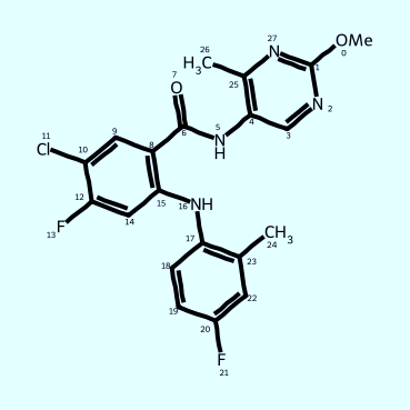 COc1ncc(NC(=O)c2cc(Cl)c(F)cc2Nc2ccc(F)cc2C)c(C)n1